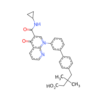 CC(C)(CC(=O)O)Cc1ccc(-c2cccc(-n3cc(C(=O)NC4CC4)c(=O)c4cccnc43)c2)cc1